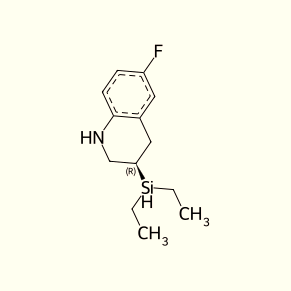 CC[SiH](CC)[C@H]1CNc2ccc(F)cc2C1